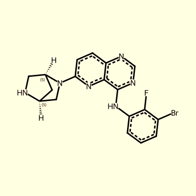 Fc1c(Br)cccc1Nc1ncnc2ccc(N3C[C@@H]4C[C@H]3CN4)nc12